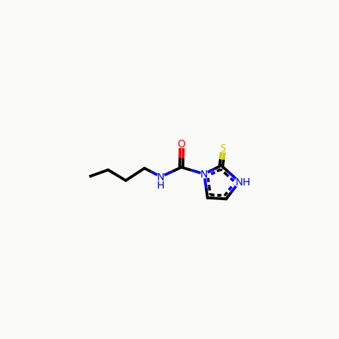 CCCCNC(=O)n1cc[nH]c1=S